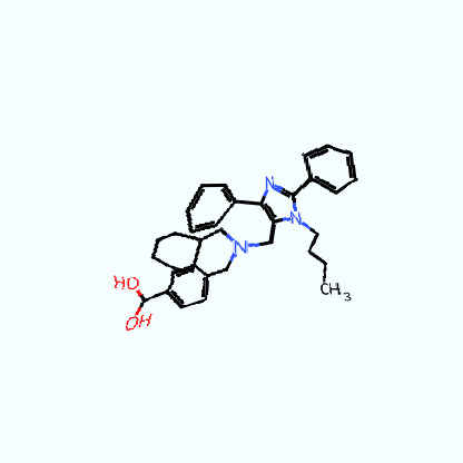 CCCCn1c(-c2ccccc2)nc(-c2ccccc2)c1CN(Cc1ccc(C(O)O)cc1)CC1CCCCC1